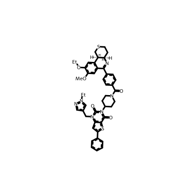 CCOc1cc2c(cc1OC)C(c1ccc(C(=O)N3CCC(n4c(=O)c5sc(-c6ccccc6)cc5n(Cc5cnn(CC)c5)c4=O)CC3)cc1)=N[C@@H]1CCSC[C@H]21